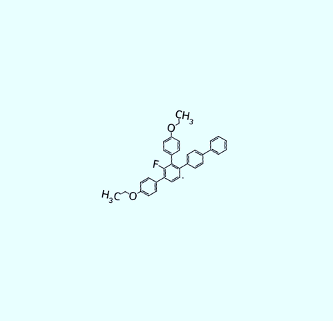 CCOc1ccc(-c2c[c]c(-c3ccc(-c4ccccc4)cc3)c(-c3ccc(OCC)cc3)c2F)cc1